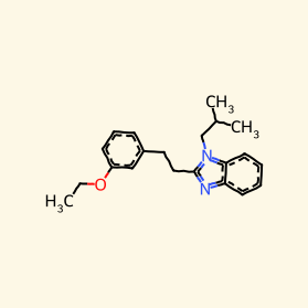 CCOc1cccc(CCc2nc3ccccc3n2CC(C)C)c1